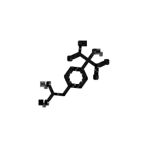 CC(C)Cc1ccc(C(C)(C(=O)O)P(=O)=O)cc1